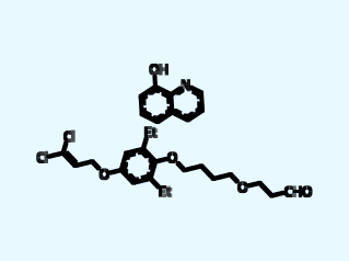 CCc1cc(OCC=C(Cl)Cl)cc(CC)c1OCCCCOCCC=O.Oc1cccc2cccnc12